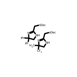 CCCCCCCCCCCC1=NC(C(C)C)(C(C)C)CN1.CCCCCCCCCCCC1=NC(C)(C(F)(F)F)CN1